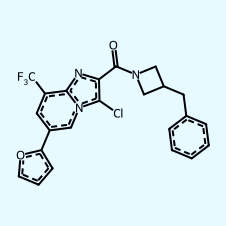 O=C(c1nc2c(C(F)(F)F)cc(-c3ccco3)cn2c1Cl)N1CC(Cc2ccccc2)C1